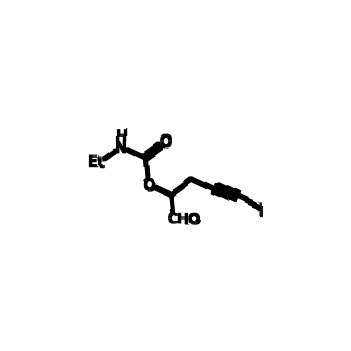 CCNC(=O)OC(C=O)CC#CI